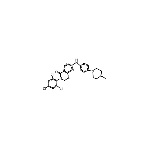 CN1CCN(c2ccc(Nc3ncc4c(n3)SCN(c3c(Cl)cc(Cl)cc3Cl)C4=O)cc2)CC1